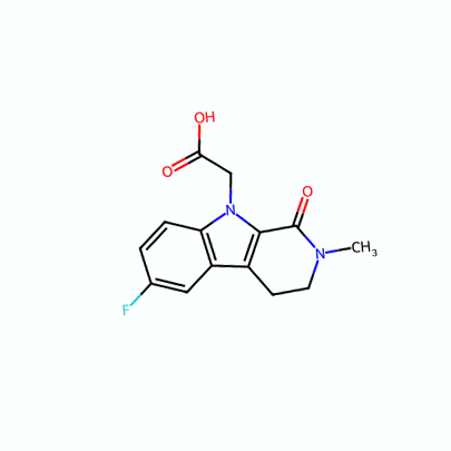 CN1CCc2c(n(CC(=O)O)c3ccc(F)cc23)C1=O